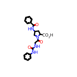 O=C(NCC(=O)N1CC(NC(=O)c2ccccc2)CC1C(=O)O)Nc1ccccc1